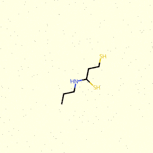 CCCNC(S)CCS